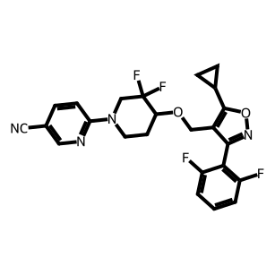 N#Cc1ccc(N2CCC(OCc3c(-c4c(F)cccc4F)noc3C3CC3)C(F)(F)C2)nc1